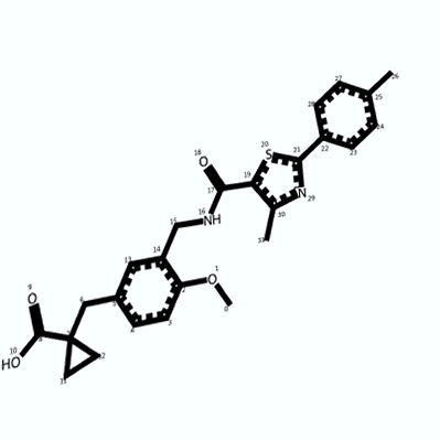 COc1ccc(CC2(C(=O)O)CC2)cc1CNC(=O)c1sc(-c2ccc(C)cc2)nc1C